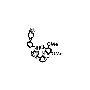 CCN1CCN(c2cccc(Nc3ncnc(-c4cccnc4Nc4c(Cl)c(OC)cc(OC)c4Cl)n3)c2)CC1